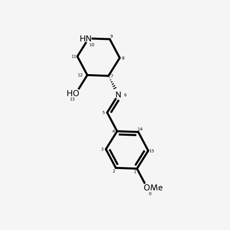 COc1ccc(/C=N/[C@H]2CCNCC2O)cc1